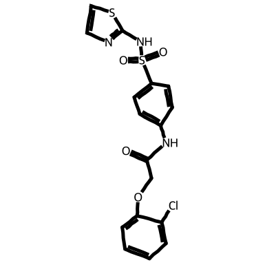 O=C(COc1ccccc1Cl)Nc1ccc(S(=O)(=O)Nc2nccs2)cc1